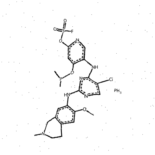 COc1cc2c(cc1Nc1ncc(Cl)c(Nc3cnc(OS(=O)(=O)F)cc3OP(C)C)n1)CN(C)CC2.P